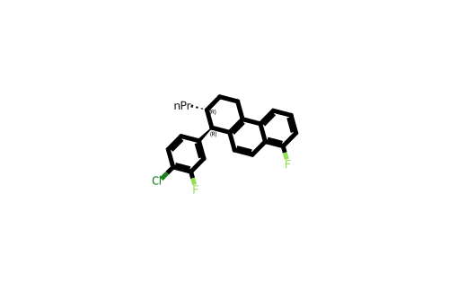 CCC[C@@H]1CCc2c(ccc3c(F)cccc23)[C@H]1c1ccc(Cl)c(F)c1